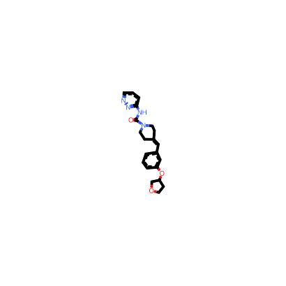 O=C(Nc1cccnn1)N1CCC(=Cc2cccc(OC3CCOC3)c2)CC1